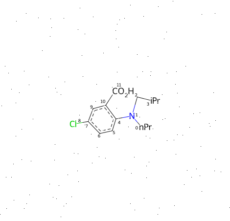 CCCN(CC(C)C)c1ccc(Cl)cc1C(=O)O